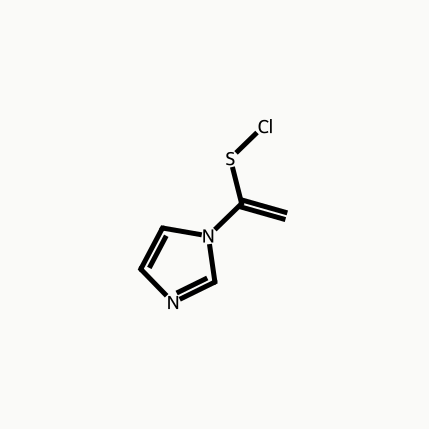 C=C(SCl)n1ccnc1